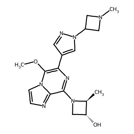 COc1c(-c2cnn(C3CN(C)C3)c2)nc(N2C[C@@H](O)[C@@H]2C)c2nccn12